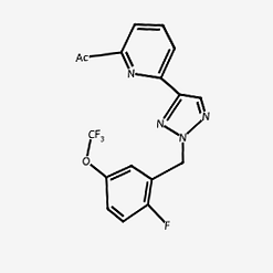 CC(=O)c1cccc(-c2cnn(Cc3cc(OC(F)(F)F)ccc3F)n2)n1